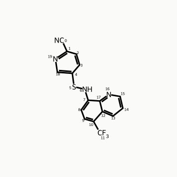 N#Cc1ccc(SNc2ccc(C(F)(F)F)c3cccnc23)cn1